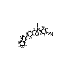 N#Cc1ccc(NC(=O)CC2CCC(c3cnc4ccccc4c3)CC2)cc1